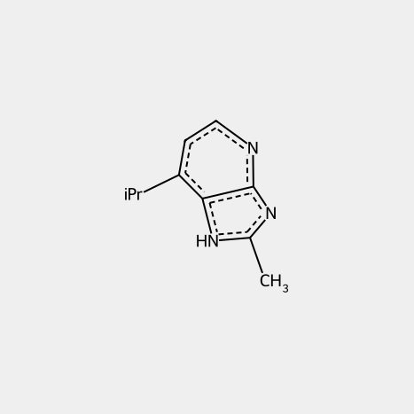 Cc1nc2nccc(C(C)C)c2[nH]1